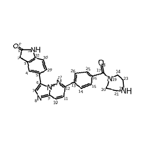 O=C1Cc2cc(-c3cnc4ccc(-c5ccc(C(=O)N6CCNCC6)cc5)nn34)ccc2N1